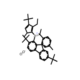 CCC1=[C](/[Zr+2](=[C](\C)c2ccc(C)cc2)[c]2c(C(C)(C)C)ccc3c2Cc2cc(C(C)(C)C)ccc2-3)C(C)C=C1C(C)(C)C.[Cl-].[Cl-]